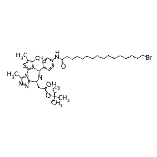 Cc1sc2c(c1C)C(c1ccc(NC(=O)CCCCCCCCCCCCCCCBr)cc1)=N[C@@H](CC(=O)OC(C)(C)C)c1nnc(C)n1-2